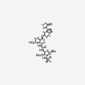 COc1c(NC(=O)N[C@H]2CC[C@@H](Oc3ccc4nnc([C@@H]5CCCN5C(C)C)n4c3)c3ccccc32)cc(C(C)(C)C)cc1NS(C)(=O)=O.Cl